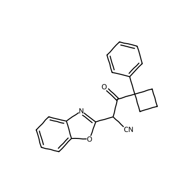 N#CC(C(=O)C1(c2ccccc2)CCC1)c1nc2ccccc2o1